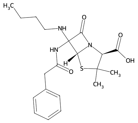 CCCCNC1(NC(=O)Cc2ccccc2)C(=O)N2[C@@H](C(=O)O)C(C)(C)S[C@@H]21